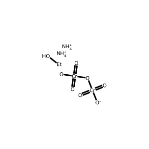 CCO.[NH4+].[NH4+].[O]=[Cr](=[O])([O-])[O][Cr](=[O])(=[O])[O-]